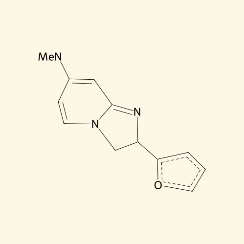 CNC1=CC2=NC(c3ccco3)CN2C=C1